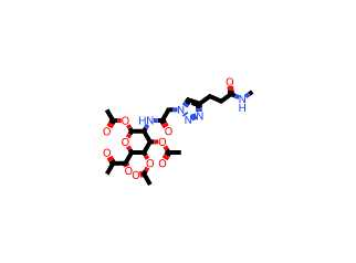 CNC(=O)CCc1cn(CC(=O)NC2C(OC(C)=O)OC(C(=O)C(C)=O)C(OC(C)=O)C2OC(C)=O)nn1